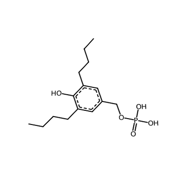 CCCCc1cc(COP(=O)(O)O)cc(CCCC)c1O